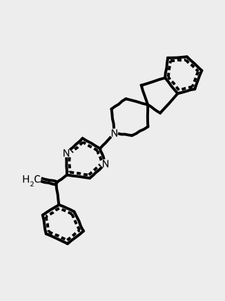 C=C(c1ccccc1)c1cnc(N2CCC3(CC2)Cc2ccccc2C3)cn1